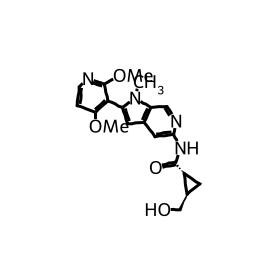 COc1ccnc(OC)c1-c1cc2cc(NC(=O)[C@@H]3C[C@H]3CO)ncc2n1C